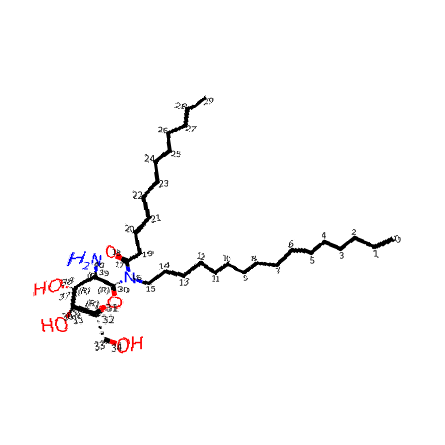 CCCCCCCCCCCCCCCCN(C(=O)CCCCCCCCCCC)[C@@H]1O[C@H](CO)[C@@H](O)[C@H](O)[C@H]1N